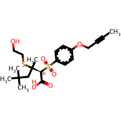 CC#CCOc1ccc(S(=O)(=O)[C@@H](C(=O)O)C(C)(CC(C)(C)C)SCCO)cc1